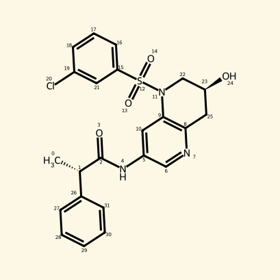 C[C@H](C(=O)Nc1cnc2c(c1)N(S(=O)(=O)c1cccc(Cl)c1)C[C@@H](O)C2)c1ccccc1